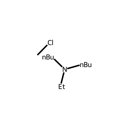 CCCCN(CC)CCCC.CCl